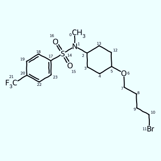 CN(C1CCC(OCCCCBr)CC1)S(=O)(=O)c1ccc(C(F)(F)F)cc1